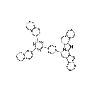 c1ccc2cc(-c3nc(-c4ccc(-c5cc6c7ccccc7sc6c6nc7c8ccccc8ccc7n56)cc4)nc(-c4ccc5ccccc5c4)n3)ccc2c1